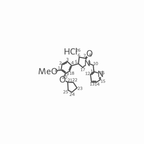 COc1ccc(C2CC(=O)N(Cc3ccccn3)C2)cc1OC1CCCC1.Cl